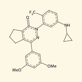 COc1cc(OC)cc(-c2nn(-c3cc(NC4CC4)ccc3C(F)(F)F)c(=O)c3c2CCC3)c1